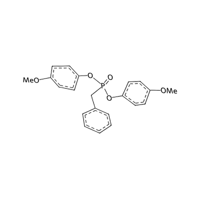 COc1ccc(OP(=O)(Cc2ccccc2)Oc2ccc(OC)cc2)cc1